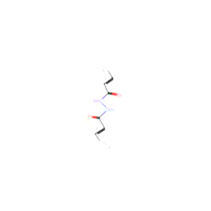 C/C=C/C(=O)NNC(=O)/C=C/C